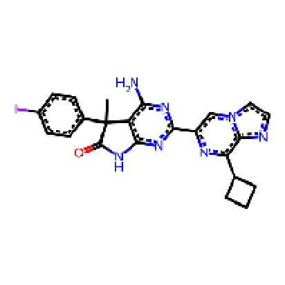 CC1(c2ccc(I)cc2)C(=O)Nc2nc(-c3cn4ccnc4c(C4CCC4)n3)nc(N)c21